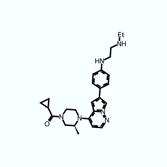 CCNCCNc1ccc(-c2cc3c(N4CCN(C(=O)C5CC5)C[C@@H]4C)ccnn3c2)cc1